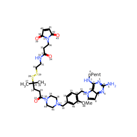 CCCCCNc1nc(N)nc2ccn(Cc3ccc(CN4CCN(C(=O)CCC(C)(C)SSCCNC(=O)CCN5C(=O)C=CC5=O)CC4)cc3OC)c12